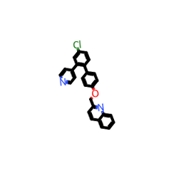 Clc1ccc(-c2ccc(OCc3ccc4ccccc4n3)cc2)c(-c2ccncc2)c1